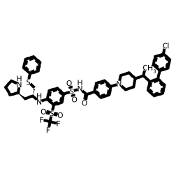 CC(c1ccccc1-c1ccc(Cl)cc1)C1CCN(c2ccc(C(=O)NS(=O)(=O)c3ccc(N[C@@H](CSc4ccccc4)C[C@H]4CCCN4)c(S(=O)(=O)C(F)(F)F)c3)cc2)CC1